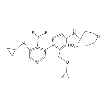 O=C(O)C1(Nc2ccc(-c3cncc(OC4CC4)c3C(F)F)c(COC3CC3)c2)CCOCC1